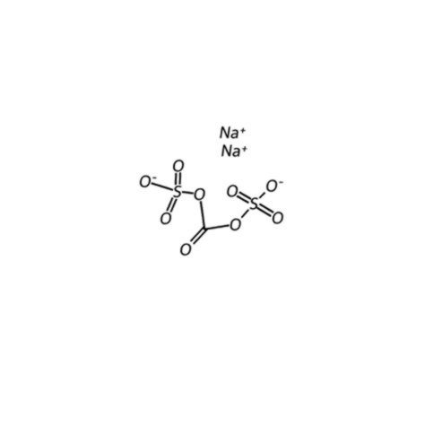 O=C(OS(=O)(=O)[O-])OS(=O)(=O)[O-].[Na+].[Na+]